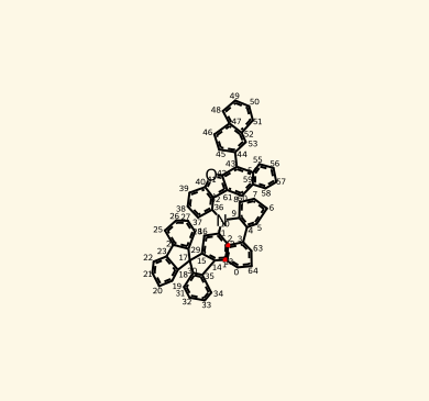 c1ccc(-c2ccccc2N(c2ccc3c(c2)C2(c4ccccc4-c4ccccc42)c2ccccc2-3)c2cccc3oc4c(-c5ccc6ccccc6c5)c5ccccc5cc4c23)cc1